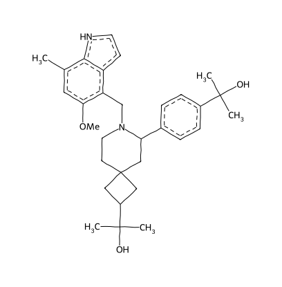 COc1cc(C)c2[nH]ccc2c1CN1CCC2(CC1c1ccc(C(C)(C)O)cc1)CC(C(C)(C)O)C2